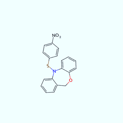 O=[N+]([O-])c1ccc(SN2c3ccccc3COc3ccccc32)cc1